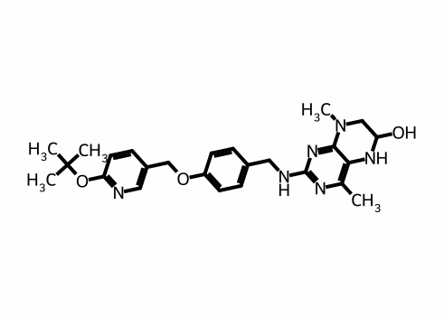 Cc1nc(NCc2ccc(OCc3ccc(OC(C)(C)C)nc3)cc2)nc2c1NC(O)CN2C